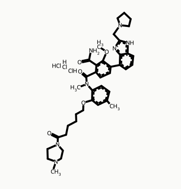 COc1c(-c2cccc3[nH]c(CN4CCCC4)nc23)ccc(C(=O)N(C)c2ccc(C)cc2OCCCCCC(=O)N2CCN(C)CC2)c1C(N)=O.Cl.Cl.Cl